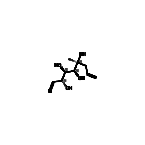 C=CC[C@](C)(O)[C@@H](O)[C@H](O)[C@H](O)C=O